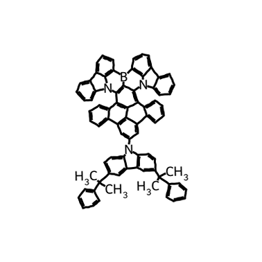 CC(C)(c1ccccc1)c1ccc2c(c1)c1cc(C(C)(C)c3ccccc3)ccc1n2-c1cc2c3ccccc3c3c4c5c(c6c7ccccc7c(c1)c2c36)-n1c2ccccc2c2cccc(c21)B5c1cccc2c3ccccc3n-4c12